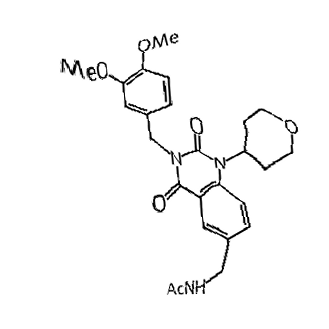 COc1ccc(Cn2c(=O)c3cc(CNC(C)=O)ccc3n(C3CCOCC3)c2=O)cc1OC